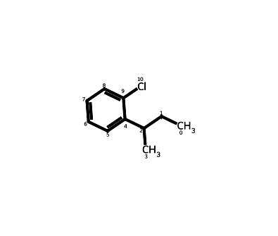 C[CH]C(C)c1ccccc1Cl